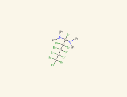 CC(C)N(C(C)C)[Si](Br)(N(C(C)C)C(C)C)[Si](Br)(Br)[Si](Br)(Br)[Si](Br)(Br)[Si](Br)(Br)Br